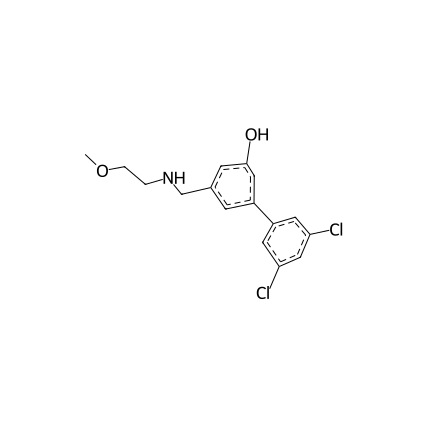 COCCNCc1cc(O)cc(-c2cc(Cl)cc(Cl)c2)c1